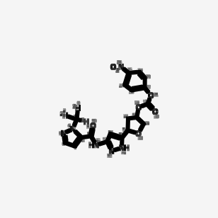 [2H]C([2H])([2H])n1nccc1C(=O)Nc1cc(C2CC(OC(=O)Oc3ccc([N+](=O)[O-])cc3)CO2)[nH]n1